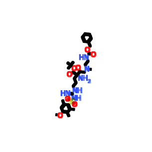 COc1cc(C)c(S(=O)(=O)NC(=N)NCCC[C@](N)(C(=O)CN(C)CCNC(=O)OCc2ccccc2)C(=O)OC(C)(C)C)c(C)c1C